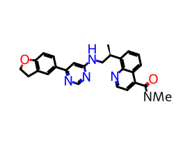 CNC(=O)c1ccnc2c([C@H](C)CNc3cc(-c4ccc5c(c4)CCO5)ncn3)cccc12